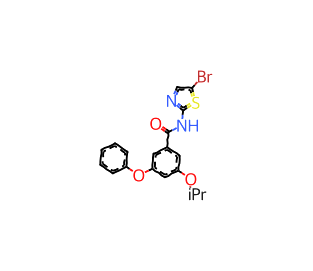 CC(C)Oc1cc(Oc2ccccc2)cc(C(=O)Nc2ncc(Br)s2)c1